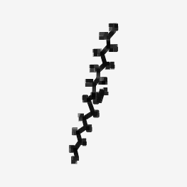 C=C.CCCCCCCCCCCCCCCCC